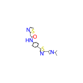 CC(C)N1CC(c2ncc(-c3ccc(NC(=O)Cc4nccs4)cc3)s2)C1